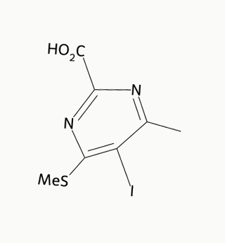 CSc1nc(C(=O)O)nc(C)c1I